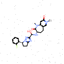 CCn1cc2c(cc1=O)N(C)C(=O)[C@H](NC(O)c1nc3n(n1)[C@H](c1ccccc1F)CC3)CC2